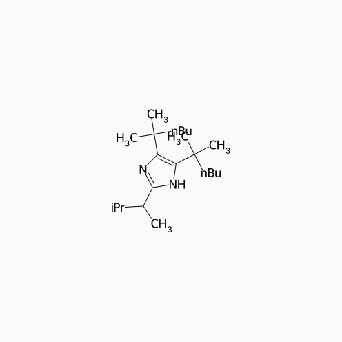 CCCCC(C)(C)c1nc(C(C)C(C)C)[nH]c1C(C)(C)CCCC